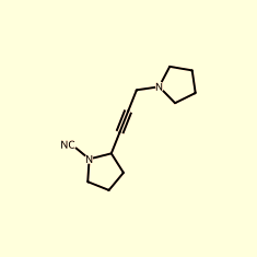 N#CN1CCCC1C#CCN1CCCC1